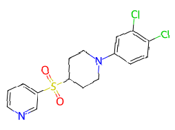 O=S(=O)(c1cccnc1)C1CCN(c2ccc(Cl)c(Cl)c2)CC1